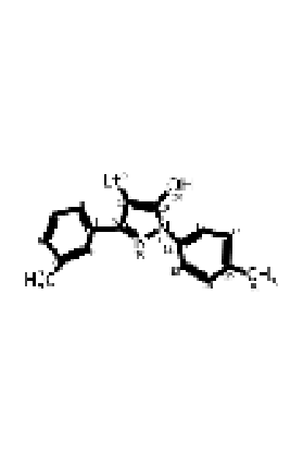 CCc1c(-c2cccc(C)c2)nn(-c2ccc(C)cc2)c1O